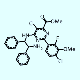 COC(=O)c1nc(-c2ccc(Cl)c(OC)c2F)nc(NC(c2ccccc2)C(N)c2ccccc2)c1Cl